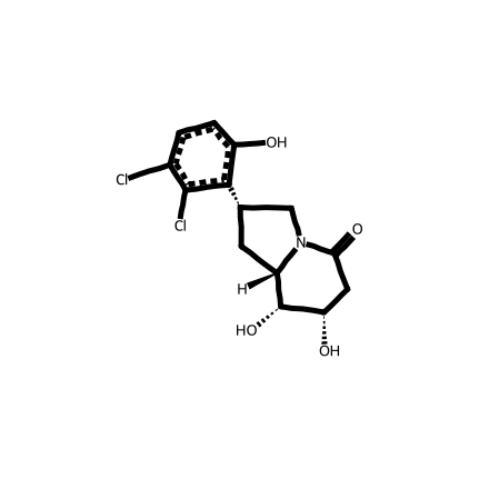 O=C1C[C@H](O)[C@H](O)[C@@H]2C[C@H](c3c(O)ccc(Cl)c3Cl)CN12